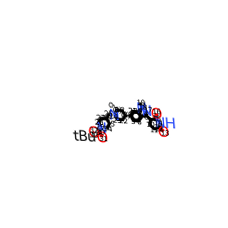 C[C@@H]1C[C@@H](c2ccc3c(C4CCC(=O)NC4=O)nn(C)c3c2)CCN1CC1CCN(C(=O)OC(C)(C)C)CC1